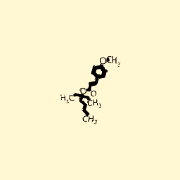 CCCCCC(CC)(CC)OC(=O)C=Cc1ccc(OC)cc1